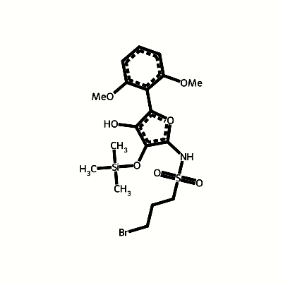 COc1cccc(OC)c1-c1oc(NS(=O)(=O)CCCBr)c(O[Si](C)(C)C)c1O